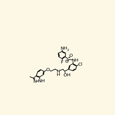 Cc1n[nH]c2cc(OCCNC[C@H](O)c3ccc(Cl)c(NS(=O)(=O)c4cc(N)ccc4F)c3)ccc12